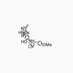 COc1ccc(CC2CN3CCCC3(CNc3cc(F)c(S(=O)(=O)Nc4ncc(F)s4)cc3O)C2)cc1